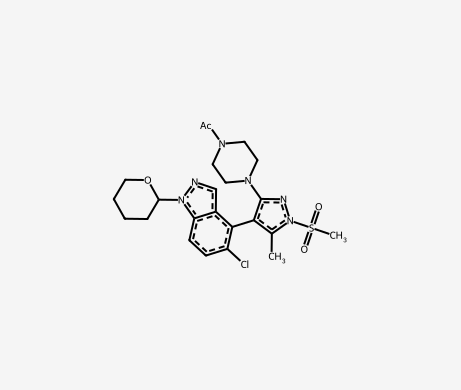 CC(=O)N1CCN(c2nn(S(C)(=O)=O)c(C)c2-c2c(Cl)ccc3c2cnn3C2CCCCO2)CC1